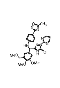 COCc1cc(C(Nc2ccc(-c3noc(C)n3)cc2)c2nn(-c3ncccn3)c(=O)[nH]2)cc(OC)c1OC